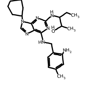 CCC(Nc1nc(NCc2ccc(C)cc2N)c2ncn(C3CCCCC3)c2n1)C(C)O